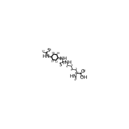 CN[C@@H](CCCCNC(=S)Nc1ccc(NC(C)=S)cc1)C(=O)O